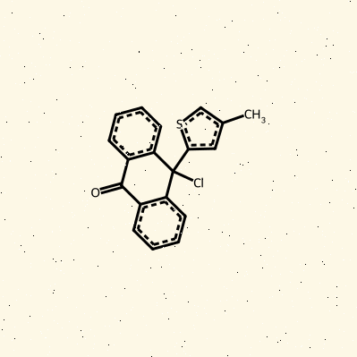 Cc1csc(C2(Cl)c3ccccc3C(=O)c3ccccc32)c1